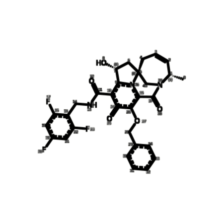 C[C@H]1C=CC[C@]23C[C@@H](O)c4c(C(=O)NCc5c(F)cc(F)cc5F)c(=O)c(OCc5ccccc5)c(n42)C(=O)N1C3